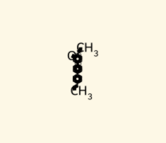 CCC[C@@H]1CC[C@@H](c2ccc([C@H]3CC[C@H](CCC)CC3)cc2)CC1=O